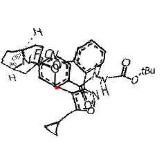 CC(C)(C)OC(=O)NNC(=O)c1ccc(N2[C@@H]3CC[C@H]2C[C@@H](OCc2c(-c4ccccc4OC(F)(F)F)noc2C2CC2)C3)nc1